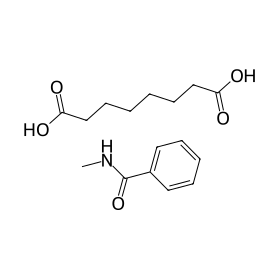 CNC(=O)c1ccccc1.O=C(O)CCCCCCC(=O)O